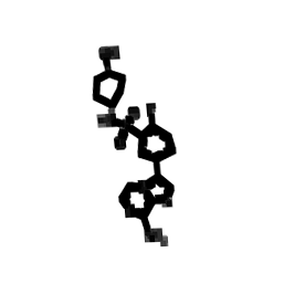 Nc1nccn2c(-c3ccc(F)c(S(=O)(=O)N[C@H]4CC[C@H](O)CC4)c3)cnc12